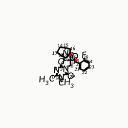 Cc1nc(=O)n(CC(F)(F)CN2C3CCC2CC(OCc2ccccc2F)C3)c(=O)n1C